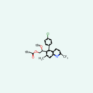 Cc1cc2nc(C(F)(F)F)ccc2c(-c2ccc(Cl)cc2)c1C(COC(=O)C(C)(C)C)OC(C)(C)C